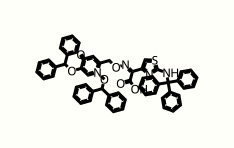 O=C(O)C(=NOCc1cc(=O)c(OC(c2ccccc2)c2ccccc2)cn1OC(c1ccccc1)c1ccccc1)c1csc(NC(c2ccccc2)(c2ccccc2)c2ccccc2)n1